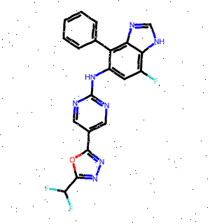 Fc1cc(Nc2ncc(-c3nnc(C(F)F)o3)cn2)c(-c2ccccc2)c2nc[nH]c12